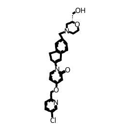 O=c1cc(OCc2ccc(Cl)cn2)ccn1C1=Cc2ccc(CN3CCO[C@@H](CO)C3)cc2CC1